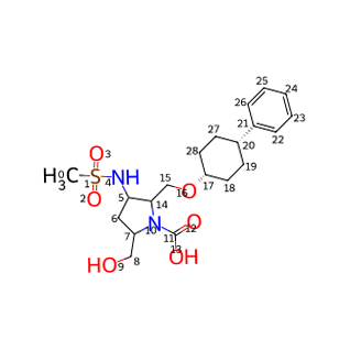 CS(=O)(=O)NC1CC(CO)N(C(=O)O)C1CO[C@H]1CC[C@@H](c2ccccc2)CC1